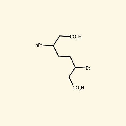 CCCC(CCC(CC)CC(=O)O)CC(=O)O